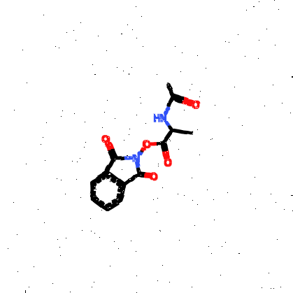 CC(=O)NC(C)C(=O)ON1C(=O)c2ccccc2C1=O